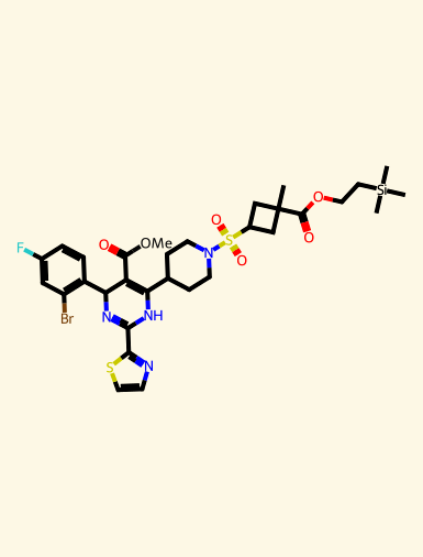 COC(=O)C1=C(C2CCN(S(=O)(=O)C3CC(C)(C(=O)OCC[Si](C)(C)C)C3)CC2)NC(c2nccs2)=NC1c1ccc(F)cc1Br